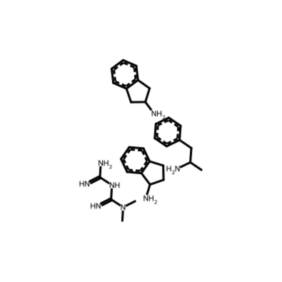 CC(N)Cc1ccccc1.CN(C)C(=N)NC(=N)N.NC1CCc2ccccc21.NC1Cc2ccccc2C1